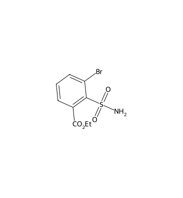 CCOC(=O)c1cccc(Br)c1S(N)(=O)=O